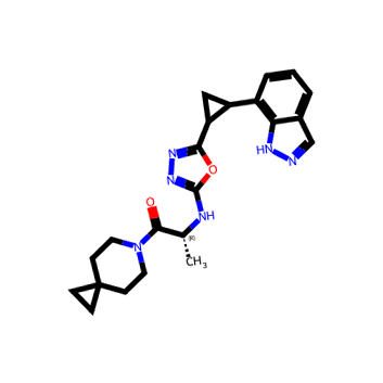 C[C@@H](Nc1nnc(C2CC2c2cccc3cn[nH]c23)o1)C(=O)N1CCC2(CC1)CC2